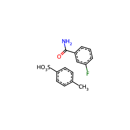 Cc1ccc(S(=O)(=O)O)cc1.NC(=O)c1cccc(F)c1